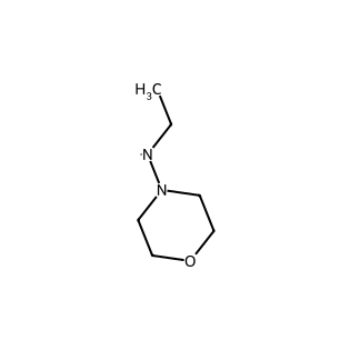 CC[N]N1CCOCC1